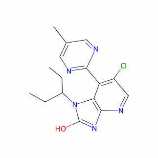 CCC(CC)n1c(O)nc2ncc(Cl)c(-c3ncc(C)cn3)c21